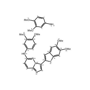 COc1ccc(N)cc1OC.COc1ccc(Nc2ccc3ncc(-c4cc5cc(OC)c(OC)cc5s4)n3n2)cc1OC